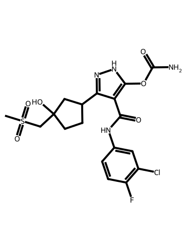 CS(=O)(=O)CC1(O)CCC(c2n[nH]c(OC(N)=O)c2C(=O)Nc2ccc(F)c(Cl)c2)C1